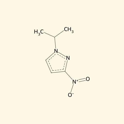 CC(C)n1ccc([N+](=O)[O-])n1